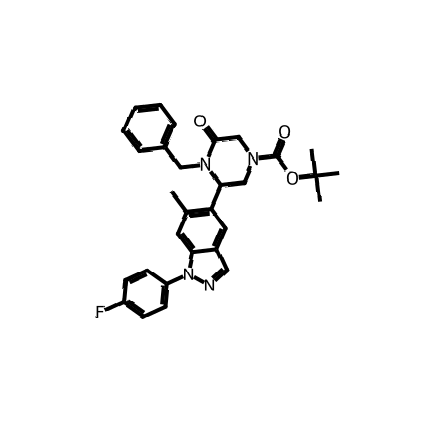 Cc1cc2c(cnn2-c2ccc(F)cc2)cc1C1CN(C(=O)OC(C)(C)C)CC(=O)N1Cc1ccccc1